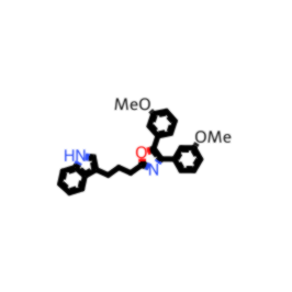 COc1cccc(-c2nc(CCCc3c[nH]c4ccccc34)oc2-c2cccc(OC)c2)c1